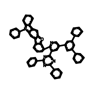 c1ccc(-c2cc(-c3ccccc3)cc(-c3cnc(-c4cccc5c4oc4cc6c7ccccc7n(-c7ccccc7)c6cc45)c(-c4nc(-c5ccccc5)nc(-c5ccccc5)n4)c3)c2)cc1